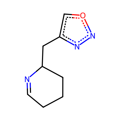 C1=NC(Cc2conn2)CCC1